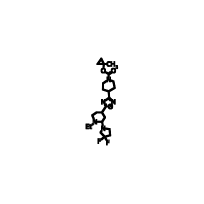 CCN1CCC(c2nc(C3CCN(C(=O)OC4(C)CC4)CC3)no2)CC1N1CCC(F)(F)C1